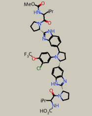 COC(=O)NC(C(=O)N1CCC[C@H]1c1nc2cc(C3CC[C@H](c4ccc5[nH]c([C@@H]6CCCN6C(=O)C(NC(=O)O)C(C)C)nc5c4)N3c3ccc(OC(F)(F)F)c(Cl)c3)ccc2[nH]1)C(C)C